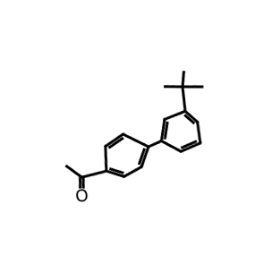 CC(=O)c1ccc(-c2cccc(C(C)(C)C)c2)cc1